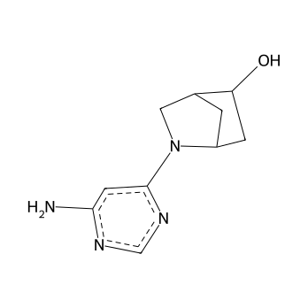 Nc1cc(N2CC3CC2CC3O)ncn1